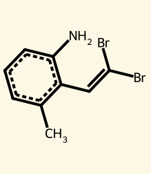 Cc1cccc(N)c1C=C(Br)Br